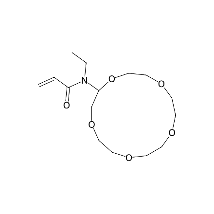 C=CC(=O)N(CC)C1COCCOCCOCCOCCO1